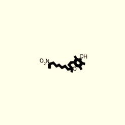 C=C(CCCCCCC1(C)CCc2c(C)c(O)c(C)c(C)c2O1)[N+](=O)[O-]